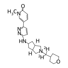 [2H]C([2H])(C1CCOCC1)N1C[C@H]2CC(Nc3ccc(-c4ccc(=O)n(C)c4)nn3)C[C@H]2C1